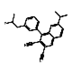 CC(C)c1ccc2cc(C#N)c(C#N)c(-c3cccc(CC(F)F)c3)c2c1